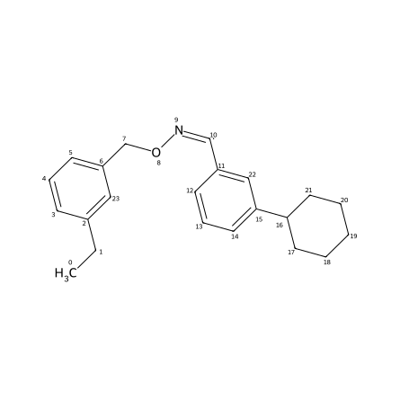 CCc1cccc(CO/N=[C]\c2cccc(C3CCCCC3)c2)c1